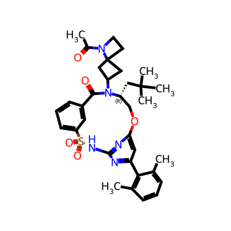 CC(=O)N1CCC12CC(N1C(=O)c3cccc(c3)S(=O)(=O)Nc3nc(cc(-c4c(C)cccc4C)n3)OC[C@H]1CC(C)(C)C)C2